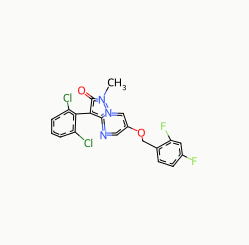 Cn1c(=O)c(-c2c(Cl)cccc2Cl)c2ncc(OCc3ccc(F)cc3F)cn21